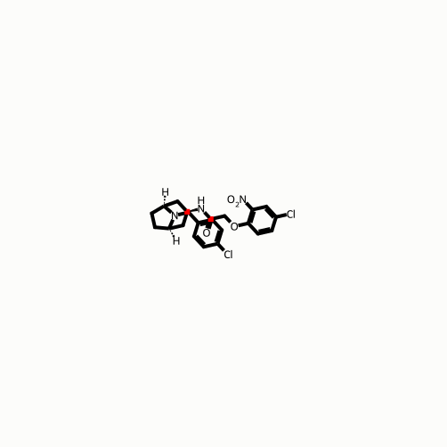 O=C(COc1ccc(Cl)cc1[N+](=O)[O-])N[C@H]1C[C@H]2CC[C@@H](C1)N2Cc1ccc(Cl)cc1